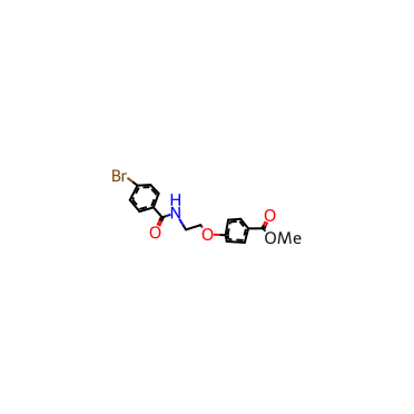 COC(=O)c1ccc(OCCNC(=O)c2ccc(Br)cc2)cc1